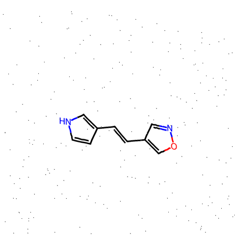 C(=C\c1cnoc1)/c1cc[nH]c1